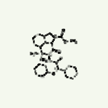 COC(=O)[C@@H]1CC2CCCC3C2N1C(=O)[C@@H](NC(=O)[C@@H](OC1CCCCO1)C1CCCCC1)C3(C)C